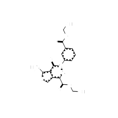 CCOC(=O)c1cccc(-n2nc(C(=O)OCC)c3csc(N)c3c2=O)c1